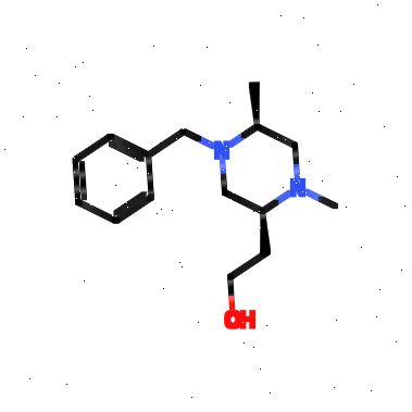 C[C@H]1CN(C)[C@@H](CCO)CN1Cc1ccccc1